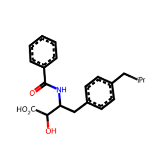 CC(C)Cc1ccc(CC(NC(=O)c2ccccc2)C(O)C(=O)O)cc1